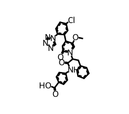 COc1cn(C(Cc2ccccc2)C(=O)Nc2ccc(C(=O)O)cc2)c(=O)cc1-c1cc(Cl)ccc1-n1cnnn1